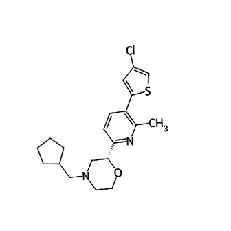 Cc1nc([C@H]2CN(CC3CCCC3)CCO2)ccc1-c1cc(Cl)cs1